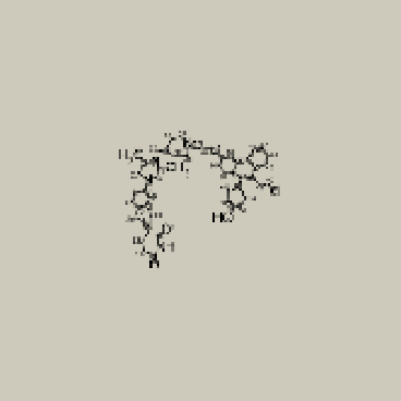 CC1CN(c2ccc3c(c2)CN(C2CCC(=O)NC2=O)C3)CC(C)N1CC1CCN(CCOc2ccc(C(=C(CCCl)c3ccccc3)c3ccc(O)cc3)cc2)CC1